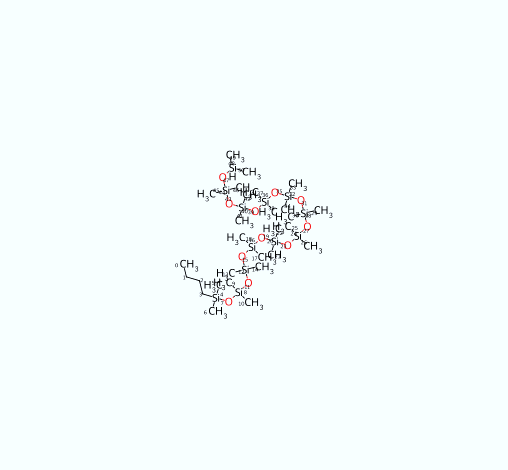 CCCC[Si](C)(C)O[Si](C)(C)O[Si](C)(C)O[Si](C)(C)O[Si](C)(C)O[Si](C)(C)O[Si](C)(C)O[Si](C)(C)O[Si](C)(C)O[Si](C)(C)O[Si](C)(C)O[SiH](C)C